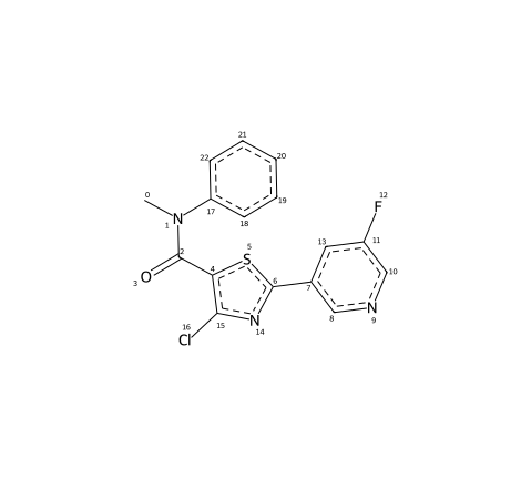 CN(C(=O)c1sc(-c2cncc(F)c2)nc1Cl)c1ccccc1